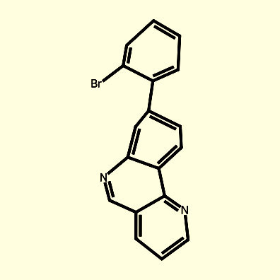 Brc1ccccc1-c1ccc2c(c1)ncc1cccnc12